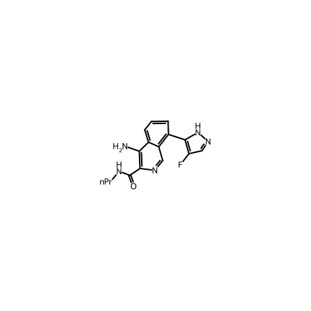 CCCNC(=O)c1ncc2c(-c3[nH]ncc3F)cccc2c1N